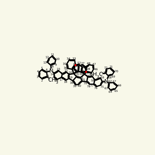 Cc1ccccc1N(c1ccccc1)c1ccc2cc3c(cc2c1)C(c1ccccc1)(c1ccccc1)c1c-3ccc2c1C(c1ccccc1)(c1ccccc1)c1cc3cc(N(c4ccccc4)c4ccccc4C)ccc3cc1-2